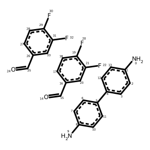 Nc1ccc(-c2ccc(N)cc2)cc1.O=Cc1ccc(F)c(F)c1.O=Cc1ccc(F)c(F)c1